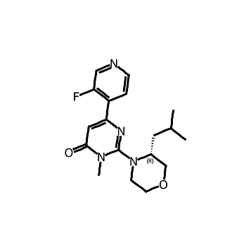 CC(C)C[C@@H]1COCCN1c1nc(-c2ccncc2F)cc(=O)n1C